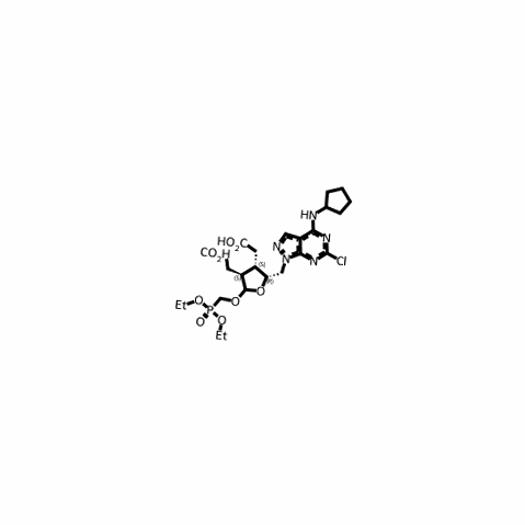 CCOP(=O)(COC1O[C@@H](Cn2ncc3c(NC4CCCC4)nc(Cl)nc32)[C@@H](CC(=O)O)[C@@H]1CC(=O)O)OCC